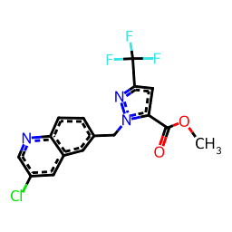 COC(=O)c1cc(C(F)(F)F)nn1Cc1ccc2ncc(Cl)cc2c1